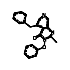 Cc1nc2cncc(Cc3ccccc3)c2c(=O)n1Oc1ccccc1